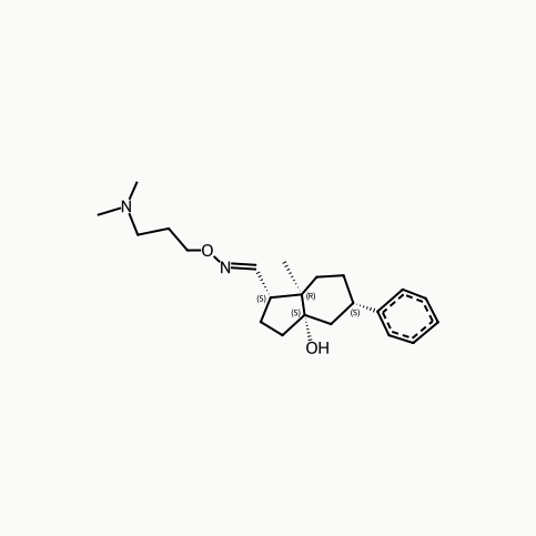 CN(C)CCCON=C[C@H]1CC[C@]2(O)C[C@@H](c3ccccc3)CC[C@]12C